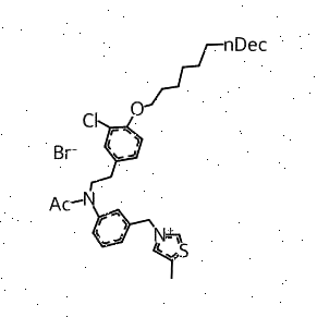 CCCCCCCCCCCCCCCCOc1ccc(CCN(C(C)=O)c2cccc(C[n+]3csc(C)c3)c2)cc1Cl.[Br-]